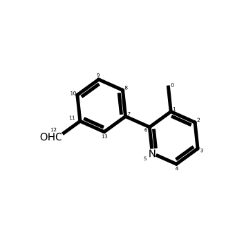 Cc1cccnc1-c1cccc(C=O)c1